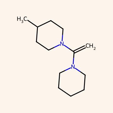 C=C(N1CCCCC1)N1CCC(C)CC1